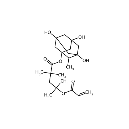 C=CC(=O)OC(C)(C)CC(C)(C)C(=O)OC12CC3(O)CC(O)(CC(O)(C3)C1C)C2